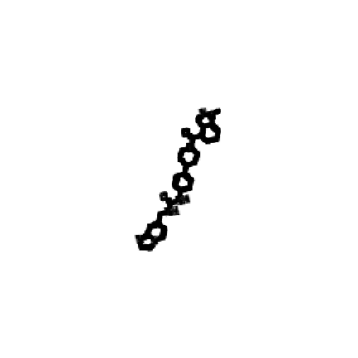 Cn1ncc2c(C(=O)N3CCC(c4ccc(NC(=O)NCc5ccn6ccnc6c5)cc4)CC3)cccc21